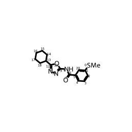 CSc1cccc(C(=O)Nc2nnc(C3CCCCC3)o2)c1